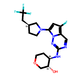 O[C@@H]1COCC[C@H]1Nc1ncc2c(F)cc(N3CC[C@@H](CC(F)(F)F)C3)n2n1